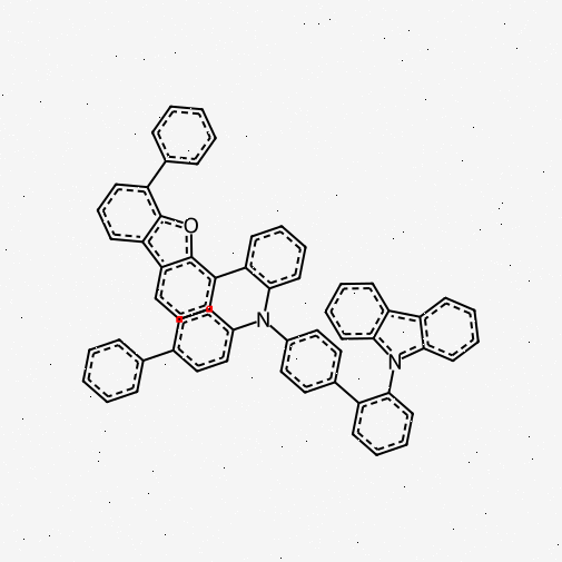 c1ccc(-c2ccc(N(c3ccc(-c4ccccc4-n4c5ccccc5c5ccccc54)cc3)c3ccccc3-c3cccc4c3oc3c(-c5ccccc5)cccc34)cc2)cc1